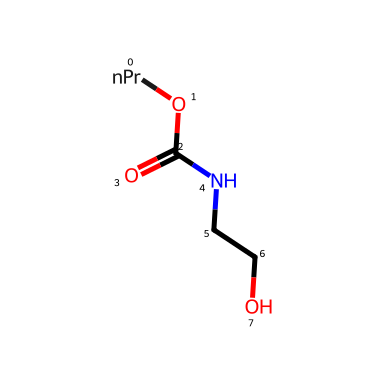 CCCOC(=O)NCCO